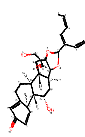 C=C/C(=C\C=C/C)C1OC2C[C@H]3[C@@H]4CCC5=CC(=O)C=C[C@]5(C)[C@H]4[C@@H](O)C[C@]3(C)[C@]2(C(=O)CO)O1